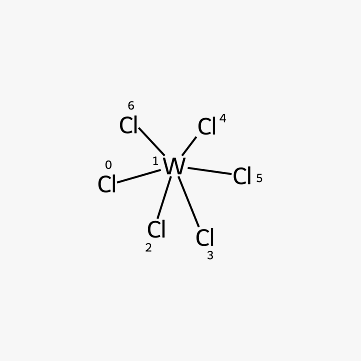 [Cl][W]([Cl])([Cl])([Cl])([Cl])[Cl]